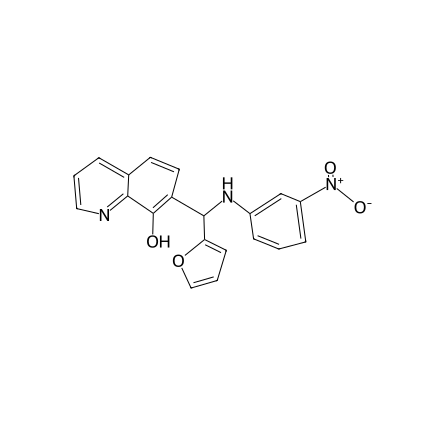 O=[N+]([O-])c1cccc(NC(c2ccco2)c2ccc3cccnc3c2O)c1